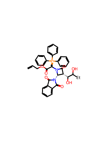 C=CCOC(=O)C(N1C(=O)[C@H](C(O)C(O)CC)[C@@H]1N1C(=O)c2ccccc2C1=O)=P(c1ccccc1)(c1ccccc1)c1ccccc1